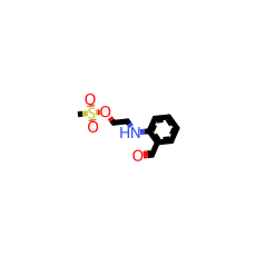 CS(=O)(=O)OCCNc1ccccc1C=O